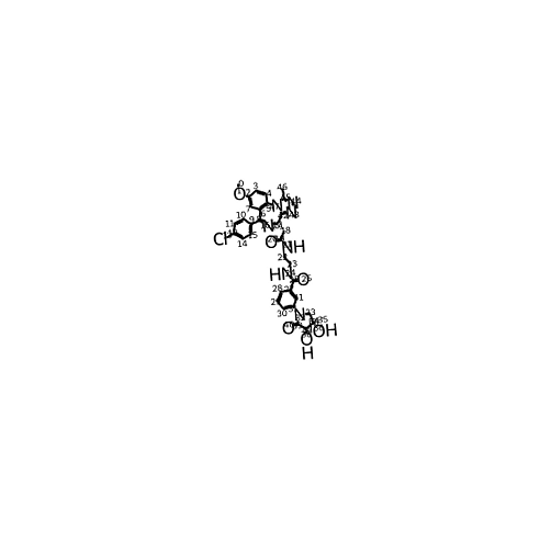 COc1ccc2c(c1)C(c1ccc(Cl)cc1)=N[C@@H](CC(=O)NCCNC(=O)c1cccc(N3C[C@@](C)(O)[C@@H](O)C3=O)c1)c1nnc(C)n1-2